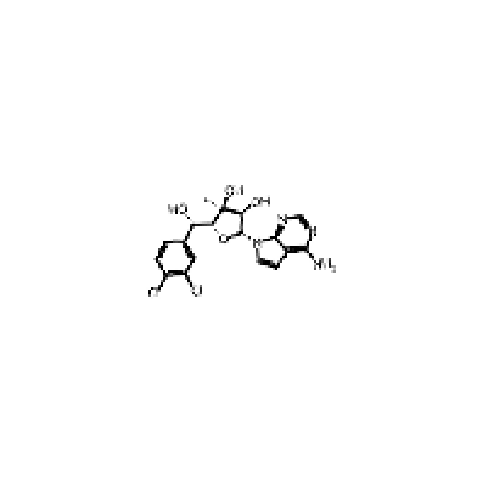 C[C@@]1(O)[C@@H]([C@@H](O)c2ccc(Cl)c(Cl)c2)O[C@@H](n2ccc3c(N)ncnc32)[C@@H]1O